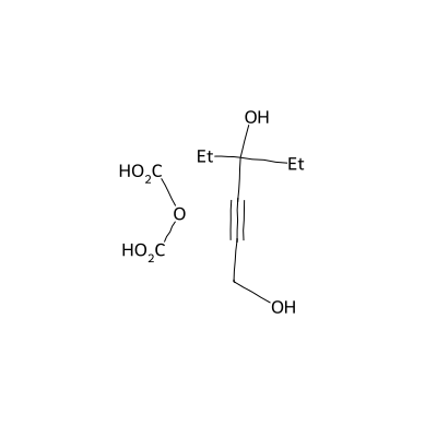 CCC(O)(C#CCO)CC.O=C(O)OC(=O)O